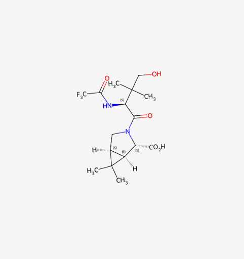 CC(C)(CO)[C@H](NC(=O)C(F)(F)F)C(=O)N1C[C@H]2[C@@H]([C@H]1C(=O)O)C2(C)C